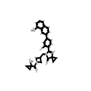 O=C(N1CC(CN2C(=O)C3(CC3)N=C2c2ccc(-c3ccc4cccc(O)c4c3)cc2F)C1)C1(O)CC1